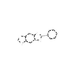 [c]1ccc(-c2nc3cc4n[c]oc4cc3o2)cc1